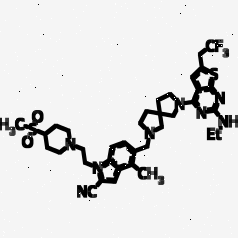 CCNc1nc(N2CCC3(CCN(Cc4ccc5c(cc(C#N)n5CCN5CCC(S(C)(=O)=O)CC5)c4C)C3)C2)c2cc(CC(F)(F)F)sc2n1